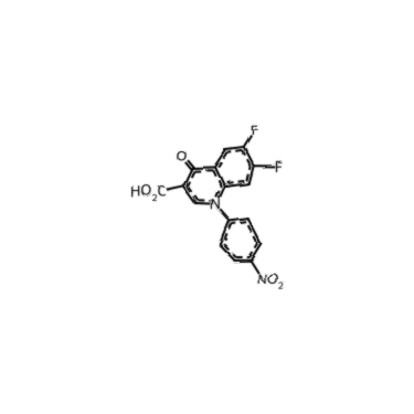 O=C(O)c1cn(-c2ccc([N+](=O)[O-])cc2)c2cc(F)c(F)cc2c1=O